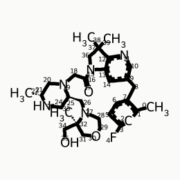 Cc1cc(F)ccc1Cc1cnc2c(c1)N(C(=O)CN1C[C@@H](C)NC[C@@H]1CN1CCOC[C@@]1(C)CO)CC2(C)C